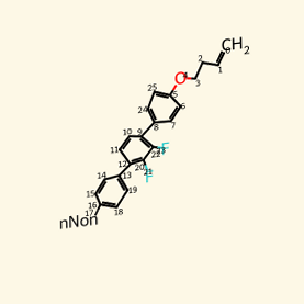 C=CCCOc1ccc(-c2ccc(-c3ccc(CCCCCCCCC)cc3)c(F)c2F)cc1